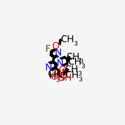 CCCOc1ncc(-c2cnc(C)c(C(OC(C)(C)C)C(=O)O)c2N2CCC(C)(C)CC2)cc1F